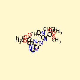 CCn1c2ccccc2c2cc(CN(CCCN)Cc3cc4c5ccccc5n(CC)c4c(-c4cc(OC)c(OC)c(OC)c4)n3)nc(-c3cc(OC)c(OC)c(OC)c3)c21